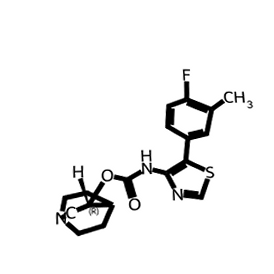 Cc1cc(-c2scnc2NC(=O)O[C@H]2CN3CCC2CC3)ccc1F